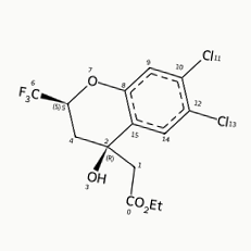 CCOC(=O)C[C@]1(O)C[C@@H](C(F)(F)F)Oc2cc(Cl)c(Cl)cc21